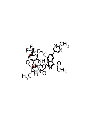 CC(=O)c1nn2c3c(cc(-c4cnc(C)nc4)cc13)CCCCCCCOC[C@@]13C[C@@H](C(=O)Nc4nc(C(F)(F)F)ccc4C)N(C(=O)C2)[C@@H]1[C@@H]3C